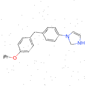 CC(C)Oc1ccc(Cc2ccc(N3C=CNC3)cc2)cc1